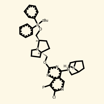 CN1C2CCC1CN(c1nc(OC[C@]34CCCN3[C@@H](CO[Si](c3ccccc3)(c3ccccc3)C(C)(C)C)CC4)nc3c(F)c(Cl)ncc13)C2